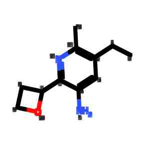 CCc1cc(N)c(C2CCO2)nc1C